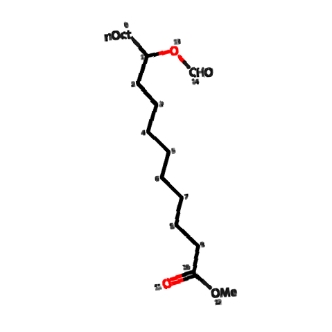 CCCCCCCCC(CCCCCCCCC(=O)OC)OC=O